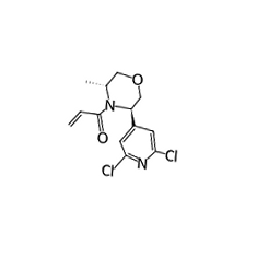 C=CC(=O)N1[C@H](C)COC[C@H]1c1cc(Cl)nc(Cl)c1